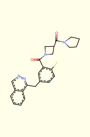 O=C(c1cc(Cc2nncc3ccccc23)ccc1F)N1CC(C(=O)N2CCCC2)C1